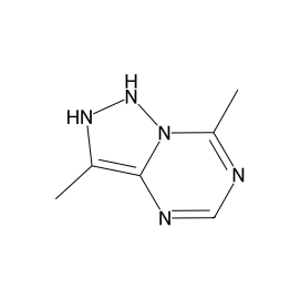 CC1=NC=NC2=C(C)NNN12